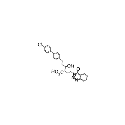 O=C(O)[C@@H](CCn1nnc2ccccc2c1=O)[C@H](O)CCc1ccc(-c2ccc(Cl)cc2)cc1